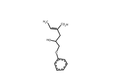 CC=C(CC(O)COc1ccccc1)C(=O)O